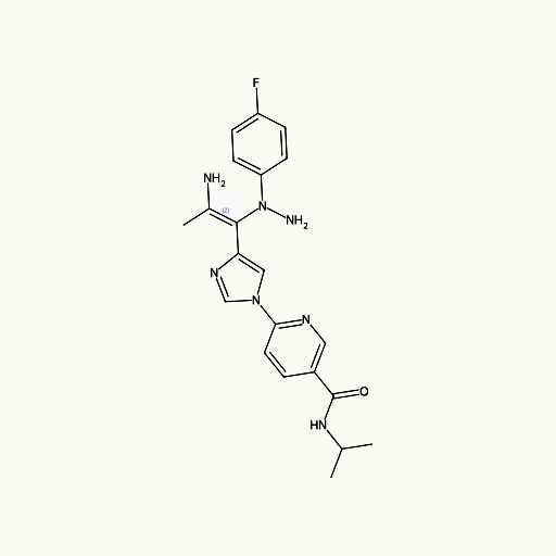 C/C(N)=C(\c1cn(-c2ccc(C(=O)NC(C)C)cn2)cn1)N(N)c1ccc(F)cc1